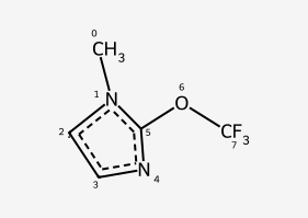 Cn1[c]cnc1OC(F)(F)F